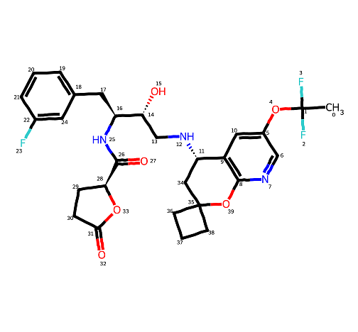 CC(F)(F)Oc1cnc2c(c1)[C@@H](NC[C@@H](O)[C@H](Cc1cccc(F)c1)NC(=O)[C@@H]1CCC(=O)O1)CC1(CCC1)O2